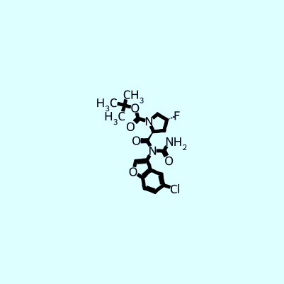 CC(C)(C)OC(=O)N1C[C@H](F)C[C@H]1C(=O)N(C(N)=O)c1coc2ccc(Cl)cc12